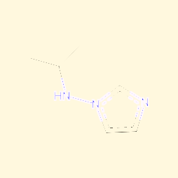 CC(C)Nn1ccnc1